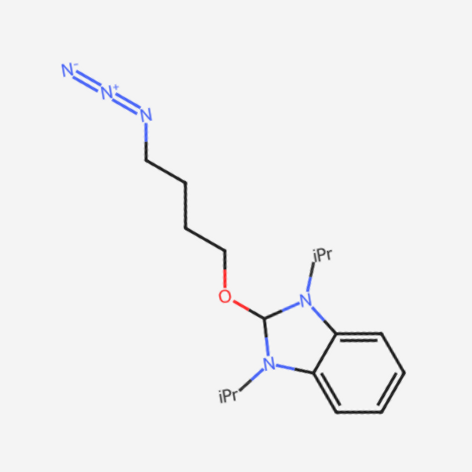 CC(C)N1c2ccccc2N(C(C)C)C1OCCCCN=[N+]=[N-]